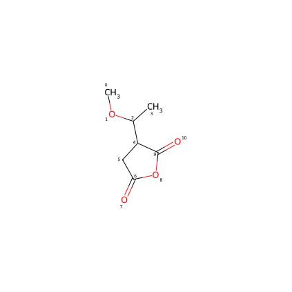 COC(C)C1CC(=O)OC1=O